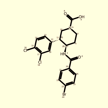 O=C(N[C@@H]1CCN(C(=O)O)C[C@H]1c1ccc(Cl)c(Cl)c1)c1ccc(Br)cc1